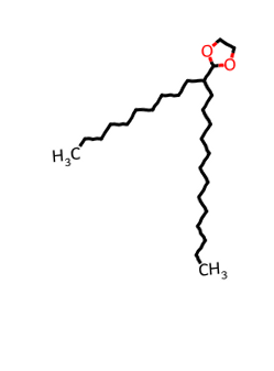 CCCCCCCCCCCCCC(CCCCCCCCCC)C1OCCO1